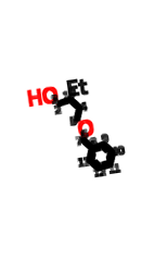 CCC(CO)CCOCc1ccccc1